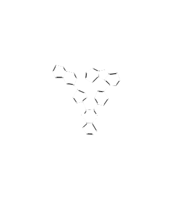 c1ccc2cc(-c3ccc(-c4nc5ccccc5nc4-c4ccc(-c5cccc6oc7ccccc7c56)cc4)cc3)ccc2c1